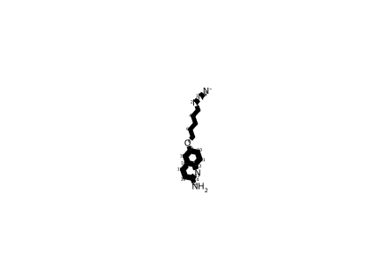 [N-]=[N+]=NCCCCCOc1ccc2nc(N)ccc2c1